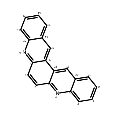 c1ccc2nc3ccc4nc5ccccc5cc4c3cc2c1